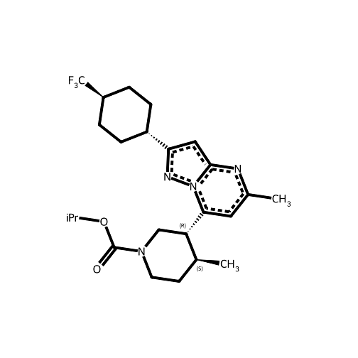 Cc1cc([C@H]2CN(C(=O)OC(C)C)CC[C@@H]2C)n2nc([C@H]3CC[C@H](C(F)(F)F)CC3)cc2n1